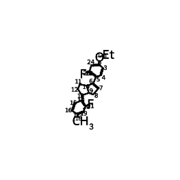 CCOc1ccc(C2=CCC3C2CCC3c2ccc(C)cc2F)c(F)c1